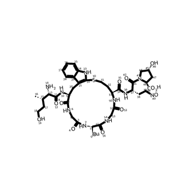 CC[C@H](C)[C@@H]1NC(=O)CNC(=O)[C@@H](NC(=O)[C@@H](N)[C@@H](C)CCO)Cc2c([nH]c3ccccc23)SCC[C@@H](C(=O)N[C@@H](CCN=O)C(=O)N2C[C@H](O)C[C@H]2C(=O)O)NC(=O)CNC1=O